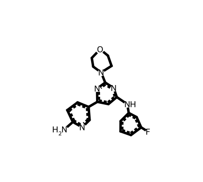 Nc1ccc(-c2cc(Nc3cccc(F)c3)nc(N3CCOCC3)n2)cn1